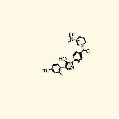 CCN(C)[C@H]1CCCN(C(=O)c2ccc(-n3ncc(-c4ccc(C#N)cc4C)c3O)nc2)C1